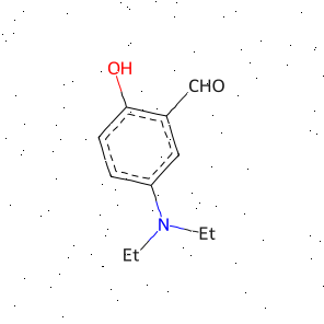 CCN(CC)c1ccc(O)c(C=O)c1